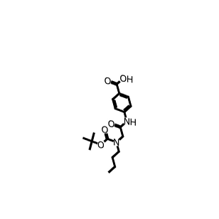 CCCCN(CC(=O)Nc1ccc(C(=O)O)cc1)C(=O)OC(C)(C)C